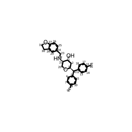 O[C@@H]1C[C@@H](C(c2ccc(F)cc2)c2ccc(F)cc2)OC[C@H]1NCc1ccc2c(c1)CCO2